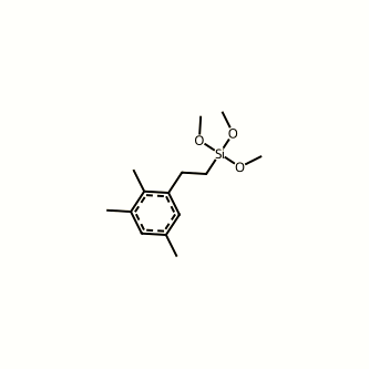 CO[Si](CCc1cc(C)cc(C)c1C)(OC)OC